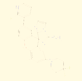 NC1=NC2(c3cc(-c4cccnc4F)ccc3Oc3c(F)cc(N4CCC(F)(F)CC4)cc32)c2nccn21